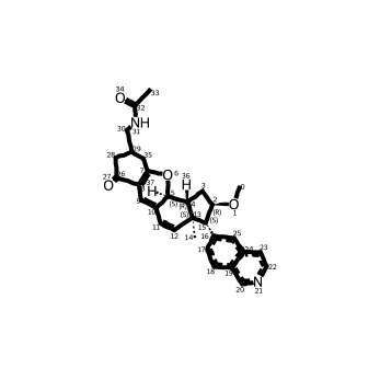 CO[C@@H]1C[C@H]2[C@@H]3OC4=C(C=C3C=C[C@]2(C)[C@H]1c1ccc2cnccc2c1)C(=O)CC(CNC(C)=O)C4